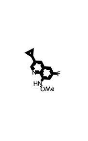 CONc1cc(F)cc2cc(C3CC3)cnc12